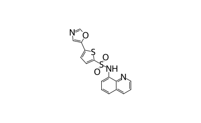 O=S(=O)(Nc1cccc2cccnc12)c1ccc(-c2cnco2)s1